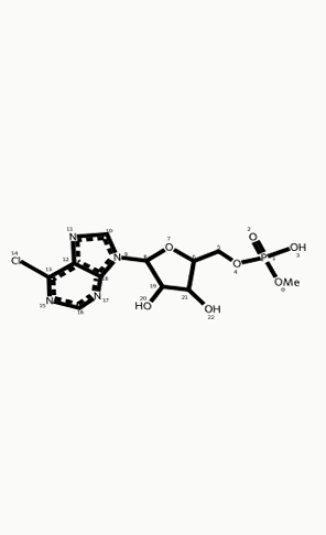 COP(=O)(O)OCC1OC(n2cnc3c(Cl)ncnc32)C(O)C1O